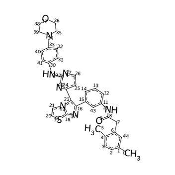 Cc1ccc(C)c(CC(=O)Nc2cccc(-c3nc4sccn4c3-c3ccnc(Nc4ccc(N5CCOCC5)cc4)n3)c2)c1